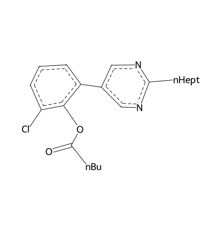 CCCCCCCc1ncc(-c2cccc(Cl)c2OC(=O)CCCC)cn1